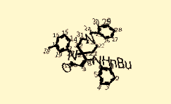 CCCCc1ccccc1NC1=CC(=O)N(c2cccc(C)c2)C12CCN(Cc1ccccc1)CC2